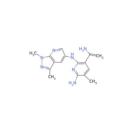 C=C(N)c1cc(C)c(N)nc1Nc1cnc2c(c1)c(C)nn2C